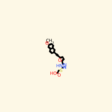 COc1ccc2cc(C#Cc3ccc(-c4nnc(SCC(=O)O)[nH]4)o3)ccc2c1